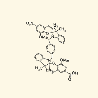 COc1cc([N+](=O)[O-])cc2c1OC1(C=C2)N(Cc2ccc(CN3c4ccccc4C(C)(C)C34C=Cc3cc([N+](=O)O)cc(OC)c3O4)cc2)c2ccccc2C1(C)C